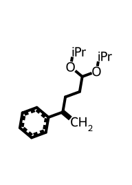 C=C(CCC(OC(C)C)OC(C)C)c1ccccc1